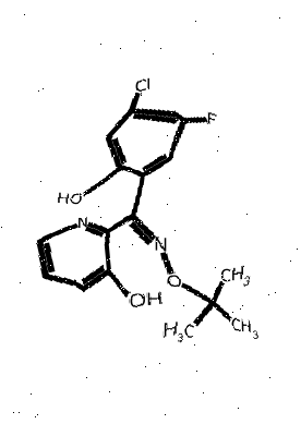 CC(C)(C)ON=C(c1cc(F)c(Cl)cc1O)c1ncccc1O